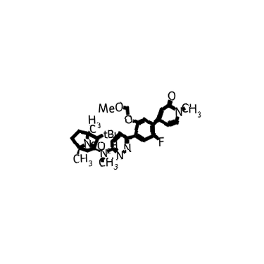 COCOc1cc(-c2ccn(C)c(=O)c2)c(F)cc1-c1ccc(N(C)[C@H]2C[C@]3(C)CC[C@](C)(C2C(C)(C)C)N3C(=O)O)nn1